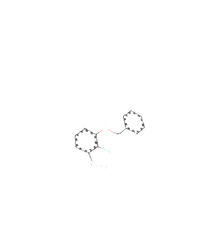 O=Cc1cccc(OCc2ccccc2)c1F